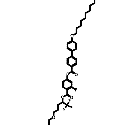 CCCCCCCCCCCOc1ccc(-c2ccc(C(=O)Oc3ccc(C(=O)OC(CCCOCC)C(F)(F)F)c(F)c3)cc2)cc1